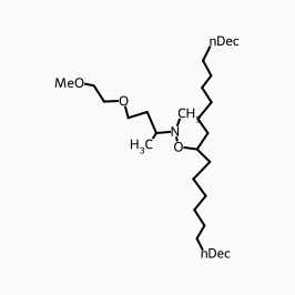 CCCCCCCCCCCCCCCCC(CCCCCCCCCCCCCCCC)ON(C)C(C)CCOCCOC